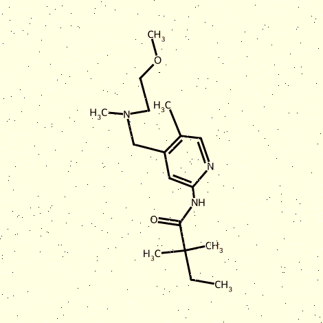 CCC(C)(C)C(=O)Nc1cc(CN(C)CCOC)c(C)cn1